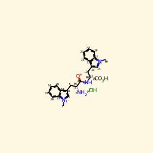 Cl.Cn1cc(C[C@@H](N)C(=O)N[C@H](Cc2cn(C)c3ccccc23)C(=O)O)c2ccccc21